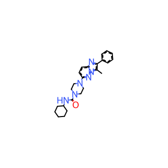 Cc1c(-c2ccccc2)nc2ccc(N3CCN(C(=O)NC4CCCCC4)CC3)nn12